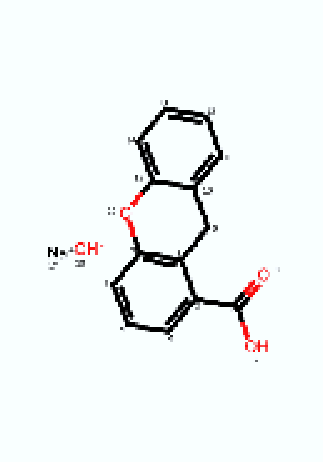 O=C(O)c1cccc2c1Cc1ccccc1O2.[Na+].[OH-]